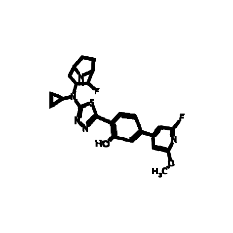 COc1cc(-c2ccc(-c3nnc(N(C4CC4)C4CC5CCC(N5)C4F)s3)c(O)c2)cc(F)n1